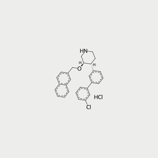 Cl.Clc1cccc(-c2cccc([C@H]3CCNC[C@@H]3OCc3ccc4ccccc4c3)c2)c1